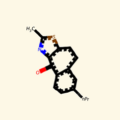 CCCc1ccc2c(=O)c3nc(C)sc3ccc2c1